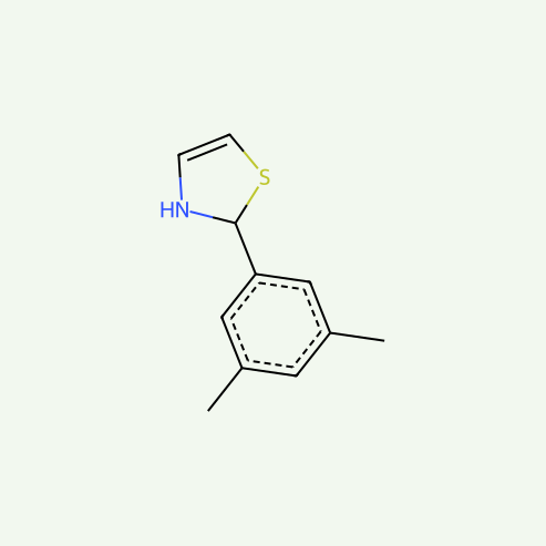 Cc1cc(C)cc(C2NC=CS2)c1